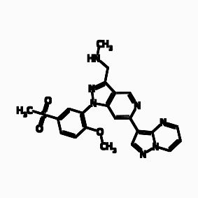 CNCc1nn(-c2cc(S(C)(=O)=O)ccc2OC)c2cc(-c3cnn4cccnc34)ncc12